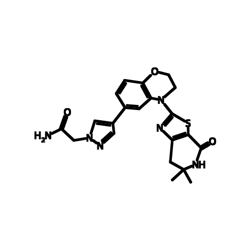 CC1(C)Cc2nc(N3CCOc4ccc(-c5cnn(CC(N)=O)c5)cc43)sc2C(=O)N1